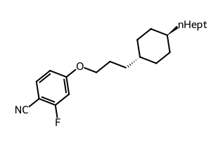 CCCCCCC[C@H]1CC[C@H](CCCOc2ccc(C#N)c(F)c2)CC1